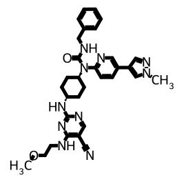 COCCNc1nc(N[C@H]2CC[C@H](N(C(=O)NCc3ccccc3)c3ccc(-c4cnn(C)c4)cn3)CC2)ncc1C#N